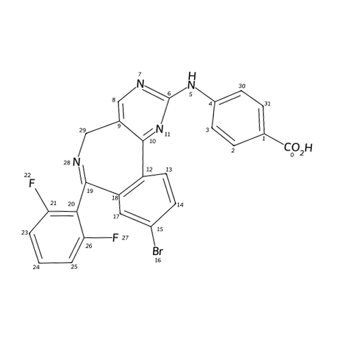 O=C(O)c1ccc(Nc2ncc3c(n2)-c2ccc(Br)cc2C(c2c(F)cccc2F)=NC3)cc1